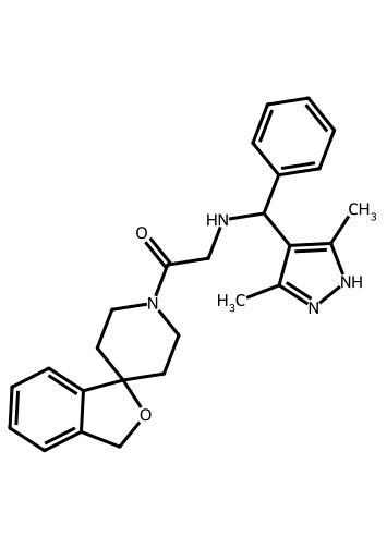 Cc1n[nH]c(C)c1C(NCC(=O)N1CCC2(CC1)OCc1ccccc12)c1ccccc1